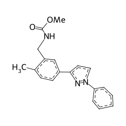 COC(=O)NCc1cc(-c2ccn(-c3ccccc3)n2)ccc1C